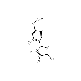 Cc1nn(-c2ccc(CC(=O)O)cc2O)c(C)c1Cl